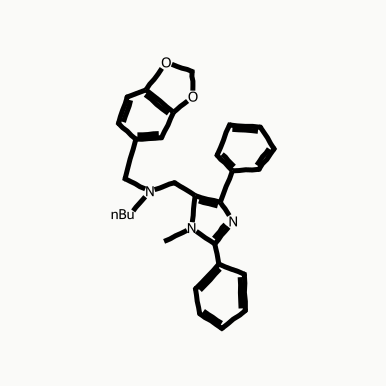 CCCCN(Cc1ccc2c(c1)OCO2)Cc1c(-c2ccccc2)nc(-c2ccccc2)n1C